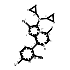 CCc1nc2c(-c3ccc(Br)cc3Br)ncc(C)n2c1N(C1CC1)C1CC1